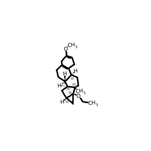 CCO[C@@]12C[C@@H]1C[C@H]1[C@@H]3CCC4=C(CC=C(OC)C4)[C@H]3CC[C@@]12C